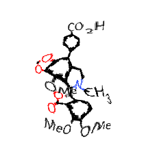 COc1ccc2c(c1OC)C(=O)O[C@@H]2[C@H]1c2c(c(-c3ccc(C(=O)O)cc3)c3c(c2OC)OCO3)CCN1C